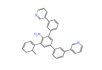 CC1CC=CC=C1c1cc(-c2cccc(-c3cccnc3)c2)cc(-c2cccc(-c3cccnc3)c2)c1N